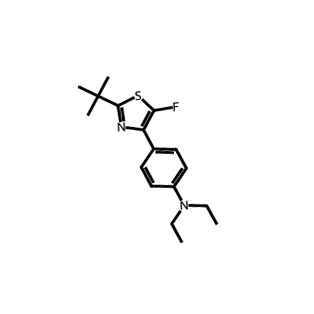 CCN(CC)c1ccc(-c2nc(C(C)(C)C)sc2F)cc1